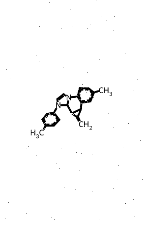 C=C1C2c3cc(C)ccc3N3C=CN(c4ccc(C)cc4)C3C12